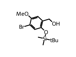 COc1cc(CO)c(O[Si](C)(C)C(C)(C)C)cc1Br